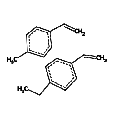 C=Cc1ccc(C)cc1.C=Cc1ccc(CC)cc1